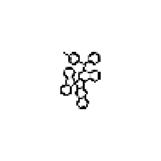 Cc1ccc(N(c2ccccc2)c2cc3c(c4ccccc24)-c2cc4ccccc4cc2C32c3ccccc3-c3ccccc32)cc1